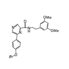 COc1cc(CCNC(=O)c2cncc(-c3ccc(OC(C)C)cc3)n2)cc(OC)c1